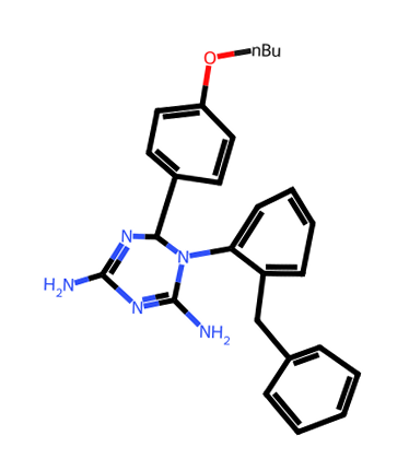 CCCCOc1ccc(C2N=C(N)N=C(N)N2c2ccccc2Cc2ccccc2)cc1